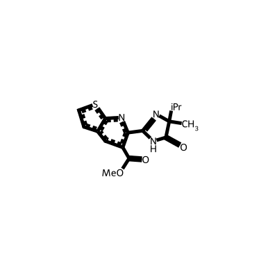 COC(=O)c1cc2ccsc2nc1C1=NC(C)(C(C)C)C(=O)N1